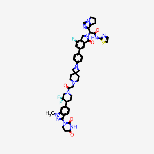 Cn1nc(N2CCC(=O)NC2=O)c2ccc(C3CCN(C(=O)CN4CCC5(CC4)CN(c4ccc(-c6cc(F)c7c(c6)C(=O)N(C(C(=O)Nc6nccs6)c6ncn8c6CCC8)C7)cc4)C5)CC3(F)F)cc21